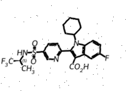 C[C@H](NS(=O)(=O)c1ccc(-c2c(C(=O)O)c3cc(F)ccc3n2C2CCCCC2)nc1)C(F)(F)F